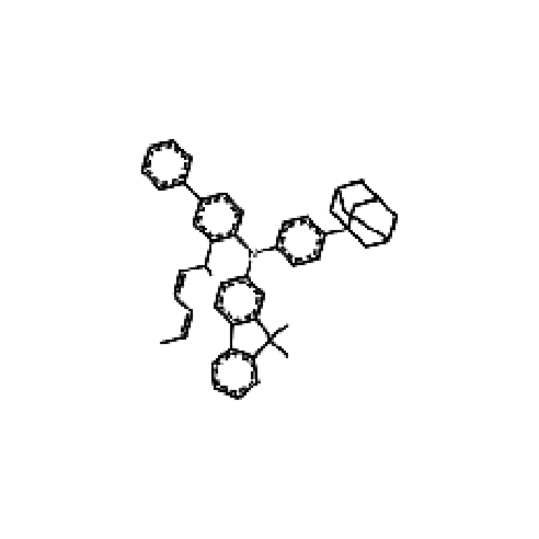 C/C=C\C=C/C(C)c1cc(-c2ccccc2)ccc1N(c1ccc(C23CC4CC(CC(C4)C2)C3)cc1)c1ccc2c(c1)C(C)(C)c1ccccc1-2